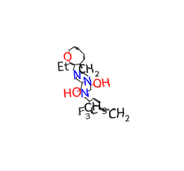 C=C/C=C(\C=C/C(C)CN1CC(O)N2CCN(C/C3=C(\CC)OC/C=C\C=C/C3=C)CC2C1O)C(F)(F)F